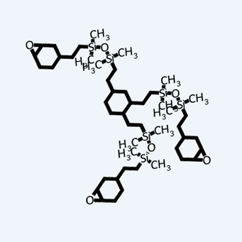 C[Si](C)(CCC1CCC(CC[Si](C)(C)O[Si](C)(C)CCC2CCC3OC3C2)C(CC[Si](C)(C)O[Si](C)(C)CCC2CCC3OC3C2)C1)O[Si](C)(C)CCC1CCC2OC2C1